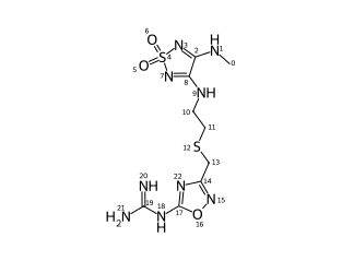 CNC1=NS(=O)(=O)N=C1NCCSCc1noc(NC(=N)N)n1